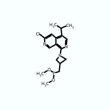 COP(CC1CN(c2ncc(C(C)C)c3cc(Cl)ncc23)C1)OC